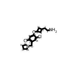 NCCC1CC(Oc2cc(Cl)c(CN3CCCC3)cc2Cl)C1